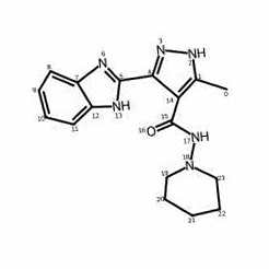 Cc1[nH]nc(-c2nc3ccccc3[nH]2)c1C(=O)NN1CCCCC1